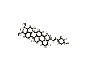 Cc1ccc(C=Cc2ccc3c4ccc5c6ccc7c8c(ccc(c9ccc(c%10cccc2c%103)c4c95)c86)C(=O)OC7=O)cc1